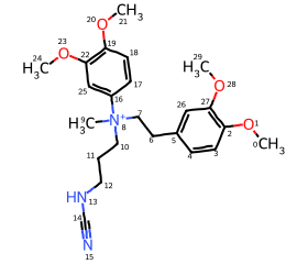 COc1ccc(CC[N+](C)(CCCNC#N)c2ccc(OC)c(OC)c2)cc1OC